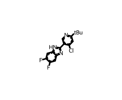 CC(C)(C)c1cc(Cl)c(-c2nc3cc(F)c(F)cc3[nH]2)cn1